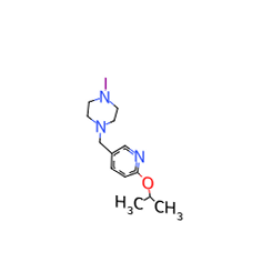 CC(C)Oc1ccc(CN2CCN(I)CC2)cn1